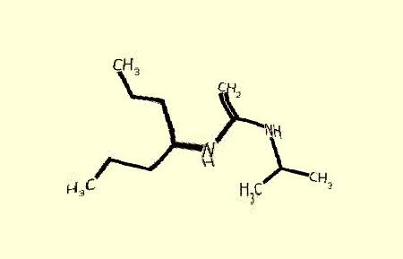 C=C(NC(C)C)NC(CCC)CCC